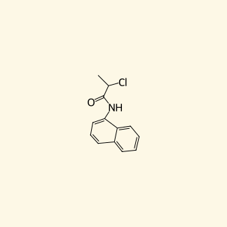 CC(Cl)C(=O)Nc1cccc2ccccc12